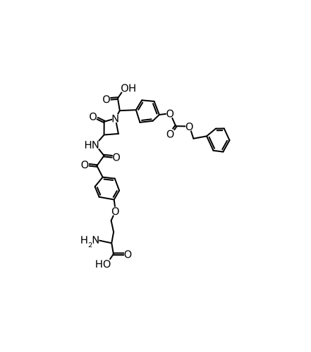 NC(CCOc1ccc(C(=O)C(=O)NC2CN(C(C(=O)O)c3ccc(OC(=O)OCc4ccccc4)cc3)C2=O)cc1)C(=O)O